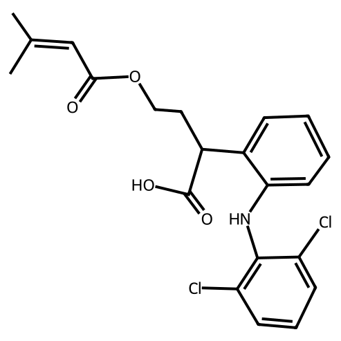 CC(C)=CC(=O)OCCC(C(=O)O)c1ccccc1Nc1c(Cl)cccc1Cl